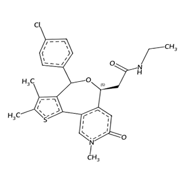 CCNC(=O)C[C@@H]1OC(c2ccc(Cl)cc2)c2c(sc(C)c2C)-c2cn(C)c(=O)cc21